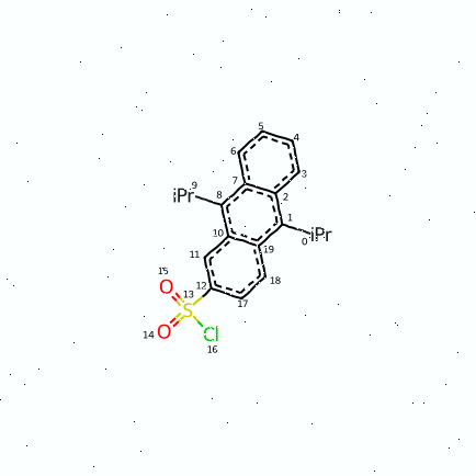 CC(C)c1c2ccccc2c(C(C)C)c2cc(S(=O)(=O)Cl)ccc12